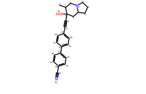 CC1CN2CCCC2CC1(O)C#Cc1ccc(-c2ccc(C#N)cc2)cc1